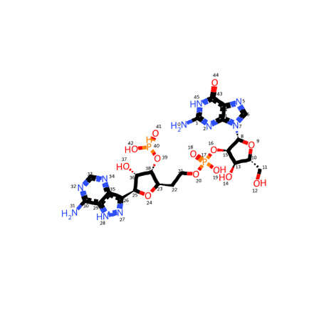 Nc1nc2c(ncn2[C@@H]2O[C@H](CO)[C@@H](O)[C@H]2OP(=O)(O)OCC[C@H]2O[C@@H](c3n[nH]c4c(N)ncnc34)[C@H](O)[C@@H]2O[PH](=O)O)c(=O)[nH]1